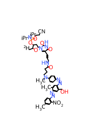 [2H]CC1OC(n2cc(C#CCNC(=O)CCCN(C)c3ccc(/N=N\c4cc(C)c(/N=N/c5ccc(C)cc5[N+](=O)[O-])cc4CO)cc3)c(=O)[nH]c2=O)CC1OP(OCCC#N)N(C(C)C)C(C)C